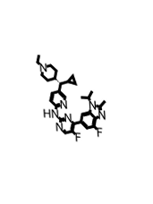 CCN1CCC([C@@H](c2ccc(Nc3ncc(F)c(-c4cc(F)c5nc(C)n(C(C)C)c5c4)n3)nc2)C2CC2)CC1